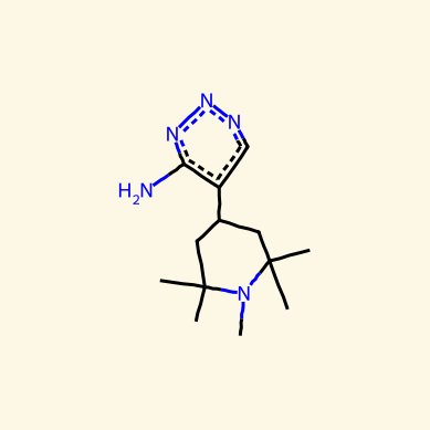 CN1C(C)(C)CC(c2cnnnc2N)CC1(C)C